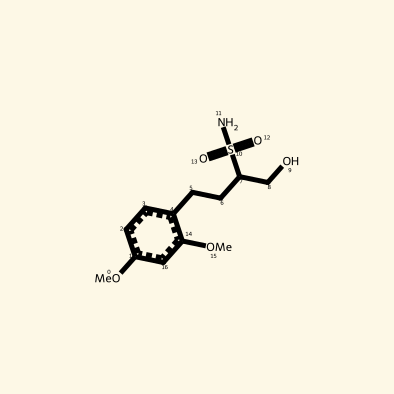 COc1ccc(CCC(CO)S(N)(=O)=O)c(OC)c1